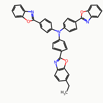 CCc1ccc2nc(-c3ccc(N(c4ccc(-c5nc6ccccc6o5)cc4)c4ccc(-c5nc6ccccc6o5)cc4)cc3)oc2c1